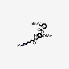 CCCCN(C)CC1CCCCN1C(=O)Oc1ccc(CNC(=O)CCCC/C=C/C(C)C)cc1OC